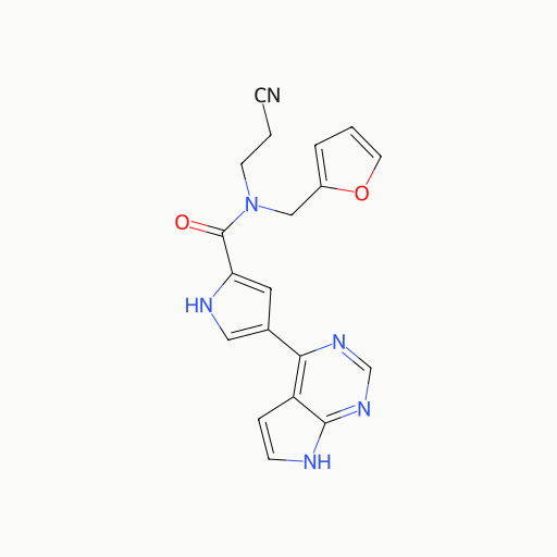 N#CCCN(Cc1ccco1)C(=O)c1cc(-c2ncnc3[nH]ccc23)c[nH]1